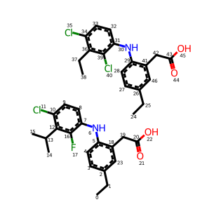 CCc1ccc(Nc2ccc(Cl)c(C(C)C)c2F)c(CC(=O)O)c1.CCc1ccc(Nc2ccc(Cl)c(CC)c2Cl)c(CC(=O)O)c1